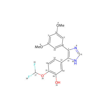 COc1cc(OC)cc(-c2nc[nH]c2-c2ccc(OC(F)F)c(O)c2)c1